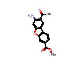 COC(=O)c1cc2c(cc1N)oc1cc(C(=O)OC(C)(C)C)ccc12